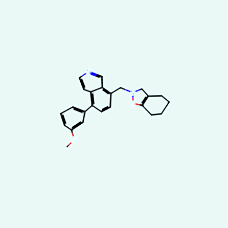 COc1cccc(-c2ccc(CN3CC4=C(CCCC4)O3)c3cnccc23)c1